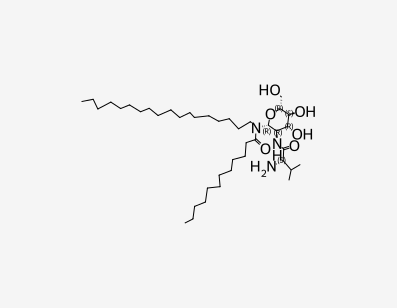 CCCCCCCCCCCCCCCCCCN(C(=O)CCCCCCCCCCC)[C@@H]1O[C@H](CO)[C@@H](O)[C@H](O)[C@H]1NC(=O)[C@@H](N)C(C)C